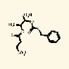 CC(OC(=O)CCS(=O)(=O)O)C(NC(=O)OCc1ccccc1)C(=O)O